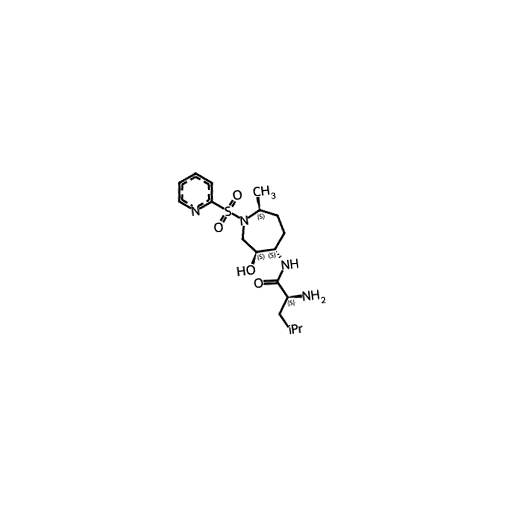 CC(C)C[C@H](N)C(=O)N[C@H]1CC[C@H](C)N(S(=O)(=O)c2ccccn2)C[C@@H]1O